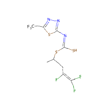 CC(CC(F)=C(F)F)SC(S)=Nc1nnc(C(F)(F)F)s1